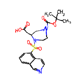 CC(C)(C)OC(=O)N1CCN(S(=O)(=O)c2cccc3cnccc23)C(CC(=O)O)C1